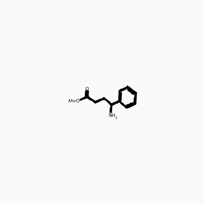 COC(=O)CCC(N)c1ccccc1